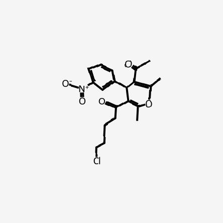 CC(=O)C1=C(C)OC(C)=C(C(=O)CCCCCl)C1c1cccc([N+](=O)[O-])c1